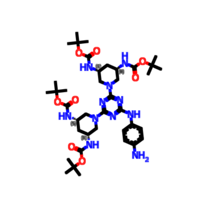 CC(C)(C)OC(=O)N[C@@H]1C[C@H](NC(=O)OC(C)(C)C)CN(c2nc(Nc3ccc(N)cc3)nc(N3C[C@H](NC(=O)OC(C)(C)C)C[C@H](NC(=O)OC(C)(C)C)C3)n2)C1